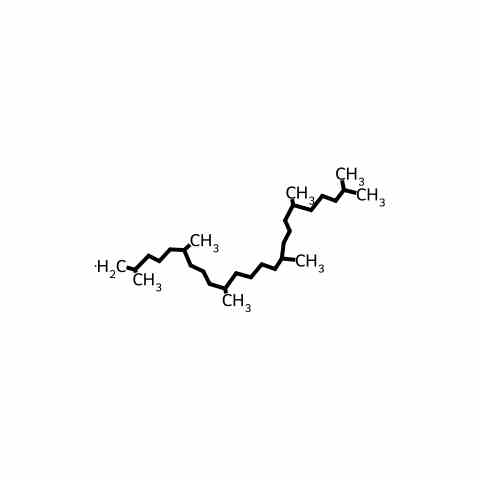 [CH2]C(C)CCCC(C)CCCC(C)CCCCC(C)CCCC(C)CCCC(C)C